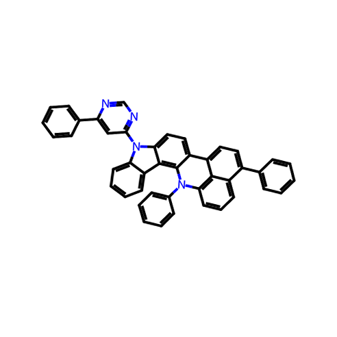 c1ccc(-c2cc(-n3c4ccccc4c4c5c(ccc43)-c3ccc(-c4ccccc4)c4cccc(c34)N5c3ccccc3)ncn2)cc1